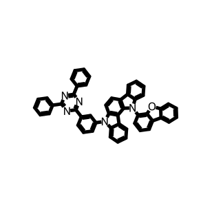 c1ccc(-c2nc(-c3ccccc3)nc(-c3cccc(-n4c5ccccc5c5c4ccc4c6ccccc6n(-c6cccc7c6oc6ccccc67)c45)c3)n2)cc1